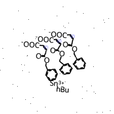 CCC[CH2][Sn+3].O=C([O-])/C=C\C(=O)OCc1ccccc1.O=C([O-])/C=C\C(=O)OCc1ccccc1.O=C([O-])/C=C\C(=O)OCc1ccccc1